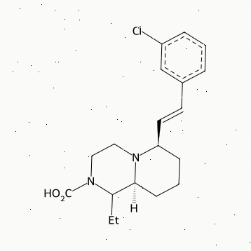 CCC1[C@@H]2CCC[C@H](C=Cc3cccc(Cl)c3)N2CCN1C(=O)O